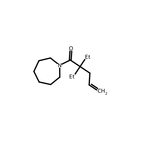 C=CCC(CC)(CC)C(=O)N1CCCCCC1